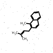 CC(C)=CCc1ccc2ccccc2c1C